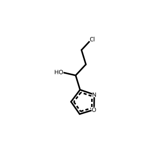 OC(CCCl)c1ccon1